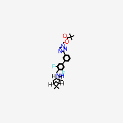 C[C@@H]1[C@H]2C[C@H](C[C@H]1NCc1c(F)cc(-c3cccc(-c4ncn(COC(=O)C(C)(C)C)n4)c3)cc1F)C2(C)C